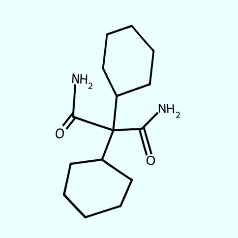 NC(=O)C(C(N)=O)(C1CCCCC1)C1CCCCC1